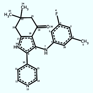 Cc1cc(F)cc(Nc2c(-c3ccncc3)[nH]c3c2C(=O)CC(C)(C)C3)c1